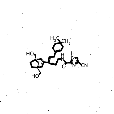 CC1(C)CC=C(C/C=C(\C=C/CNC(=O)c2nc(C#N)c[nH]2)C2C[C@]3(CO)CC[C@](CO)(C2)O3)CC1